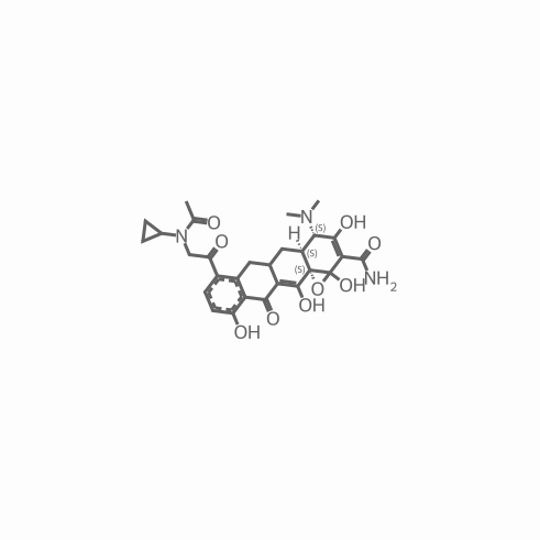 CC(=O)N(CC(=O)c1ccc(O)c2c1CC1C[C@H]3[C@H](N(C)C)C(O)=C(C(N)=O)C4(O)O[C@]34C(O)=C1C2=O)C1CC1